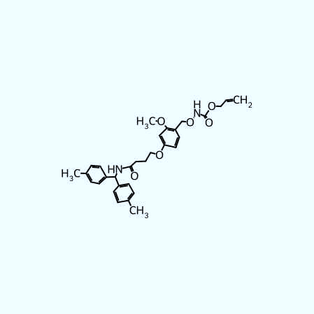 C=CCOC(=O)NOCc1ccc(OCCCC(=O)NC(c2ccc(C)cc2)c2ccc(C)cc2)cc1OC